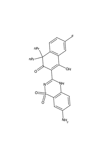 CCCC1(CCC)C(=O)C(C2=NS(=O)(=O)c3cc(N)ccc3N2)=C(O)c2cc(F)ccc21